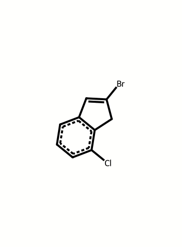 Clc1cccc2c1CC(Br)=C2